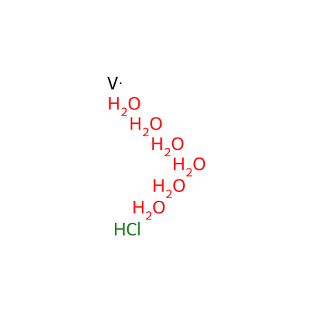 Cl.O.O.O.O.O.O.[V]